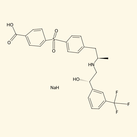 C[C@H](Cc1ccc(S(=O)(=O)c2ccc(C(=O)O)cc2)cc1)NC[C@@H](O)c1cccc(C(F)(F)F)c1.[NaH]